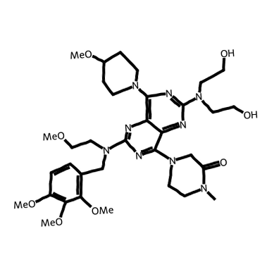 COCCN(Cc1ccc(OC)c(OC)c1OC)c1nc(N2CCN(C)C(=O)C2)c2nc(N(CCO)CCO)nc(N3CCC(OC)CC3)c2n1